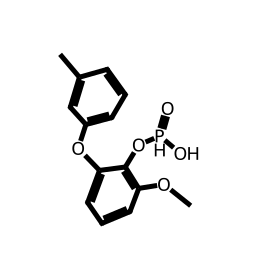 COc1cccc(Oc2cccc(C)c2)c1O[PH](=O)O